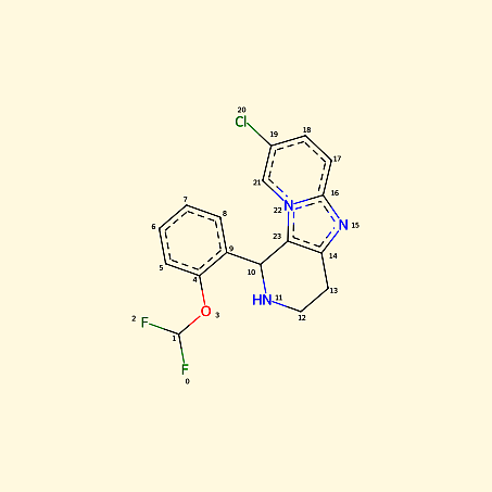 FC(F)Oc1ccccc1C1NCCc2nc3ccc(Cl)cn3c21